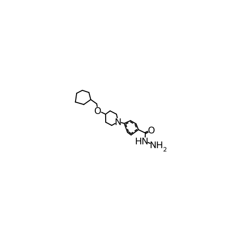 NNC(=O)c1ccc(N2CCC(OCC3CCCCC3)CC2)cc1